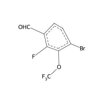 O=Cc1ccc(Br)c(OC(F)(F)F)c1F